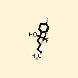 CCCCCC(O)(c1ccc(I)cc1)C(F)(F)F